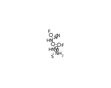 CSCC[C@H](NC(=O)c1ccc(NC(Cn2ccnc2)c2ccc(F)cc2)cc1-c1ccc(F)cc1)C(N)=O